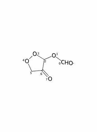 O=[C]OC1OOCC1=O